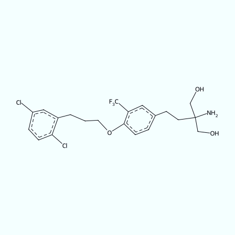 NC(CO)(CO)CCc1ccc(OCCCc2cc(Cl)ccc2Cl)c(C(F)(F)F)c1